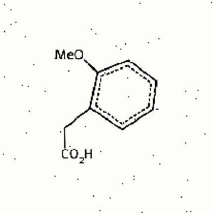 COc1cc[c]cc1CC(=O)O